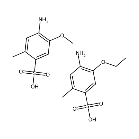 CCOc1cc(S(=O)(=O)O)c(C)cc1N.COc1cc(S(=O)(=O)O)c(C)cc1N